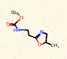 CC1CN=C(CCNC(=O)OC(C)(C)C)O1